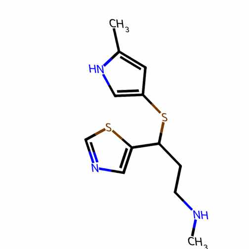 CNCCC(Sc1c[nH]c(C)c1)c1cncs1